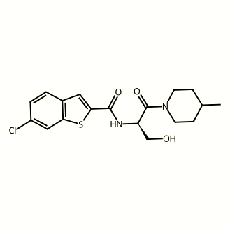 CC1CCN(C(=O)[C@@H](CO)NC(=O)c2cc3ccc(Cl)cc3s2)CC1